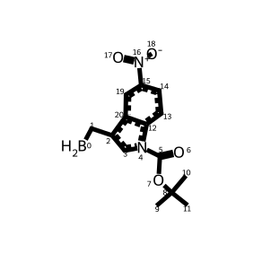 BCc1cn(C(=O)OC(C)(C)C)c2ccc([N+](=O)[O-])cc12